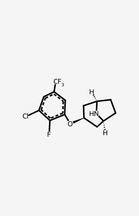 Fc1c(Cl)cc(C(F)(F)F)cc1O[C@H]1C[C@H]2CC[C@@H](C1)N2